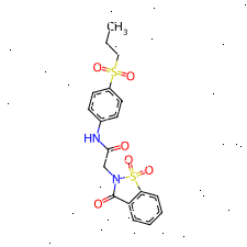 CCCS(=O)(=O)c1ccc(NC(=O)CN2C(=O)c3ccccc3S2(=O)=O)cc1